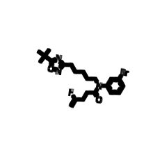 C=C(F)CCC(=O)N(CCCCCc1noc(C(C)(C)C)n1)c1cccc(Br)c1